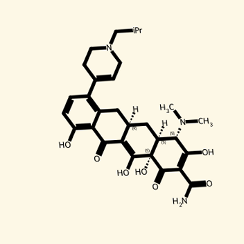 CC(C)CN1CC=C(c2ccc(O)c3c2C[C@H]2C[C@H]4[C@H](N(C)C)C(O)=C(C(N)=O)C(=O)[C@@]4(O)C(O)=C2C3=O)CC1